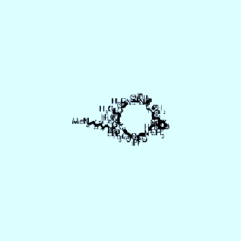 C/C=C(\C)C1OC(=O)C(C)NC(=O)C([C@H](C)CC)NC(=O)CN(C)C(=O)C(Cc2ccccc2)N(C)C(=O)C(C)NC(=O)C(CC(C)C)OC(=O)C(C)=CCC(OC(=O)N(C)CCCCCCNC)C1C